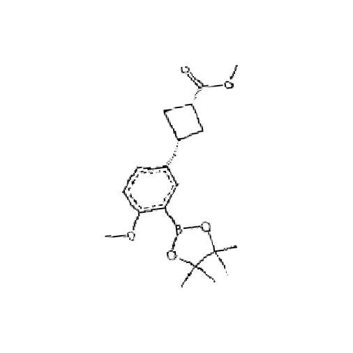 COc1ccc([C@H]2C[C@@H](C(=O)OC)C2)cc1B1OC(C)(C)C(C)(C)O1